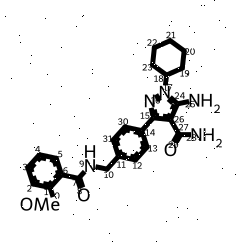 COc1ccccc1C(=O)NCc1ccc(-c2nn(C3CCCCC3)c(N)c2C(N)=O)cc1